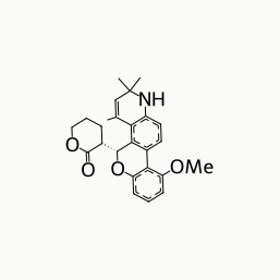 COc1cccc2c1-c1ccc3c(c1[C@@H](C1CCCOC1=O)O2)C(C)=CC(C)(C)N3